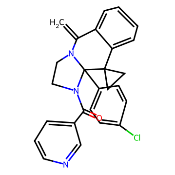 C=C1c2ccccc2C2(CC2)C2(c3ccc(Cl)cc3)N1CCN2C(=O)c1cccnc1